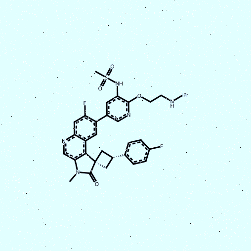 CC(C)NCCOc1ncc(-c2cc3c(cc2F)ncc2c3[C@]3(C[C@@H](c4ccc(F)cc4)C3)C(=O)N2C)cc1NS(C)(=O)=O